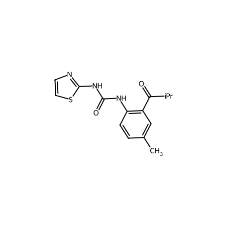 Cc1ccc(NC(=O)Nc2nccs2)c(C(=O)C(C)C)c1